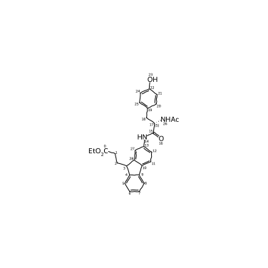 CCOC(=O)CCC1c2ccccc2-c2ccc(NC(=O)[C@H](Cc3ccc(O)cc3)NC(C)=O)cc21